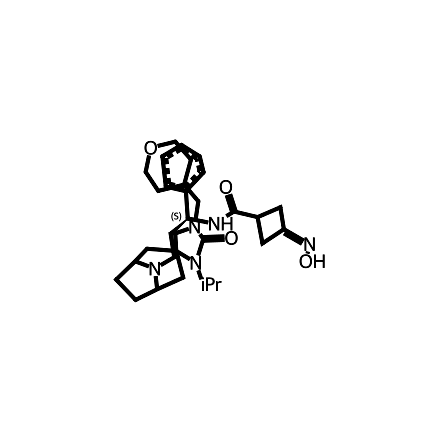 CC(C)N1C(=O)N(CC2CCOCC2)CC12CC1CCC(C2)N1CC[C@H](NC(=O)C1CC(=NO)C1)c1ccccc1